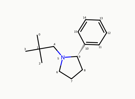 CC(C)(C)CN1CCC[C@H]1c1ccccc1